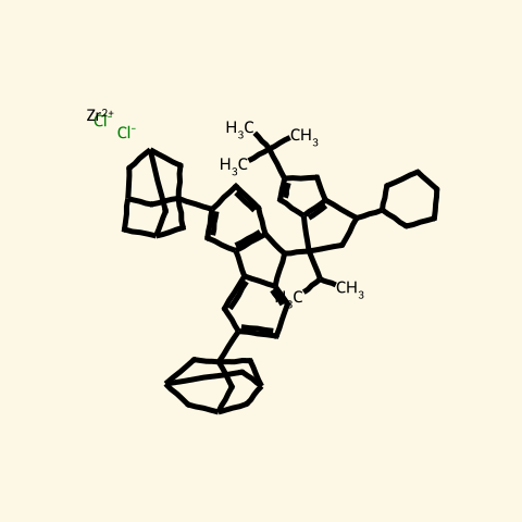 CC(C)C1(C2c3ccc(C45CC6CC(CC(C6)C4)C5)cc3-c3cc(C45CC6CC(CC(C6)C4)C5)ccc32)CC(C2CCCCC2)C2=C1C=C(C(C)(C)C)C2.[Cl-].[Cl-].[Zr+2]